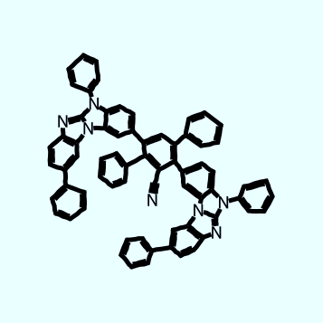 N#Cc1c(-c2ccccc2)c(-c2ccc3c(c2)n2c4cc(-c5ccccc5)ccc4nc2n3-c2ccccc2)cc(-c2ccccc2)c1-c1ccc2c(c1)n1c3cc(-c4ccccc4)ccc3nc1n2-c1ccccc1